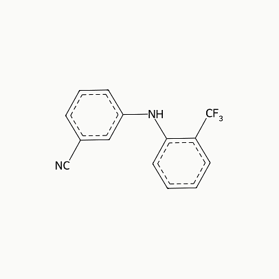 N#Cc1cccc(Nc2ccccc2C(F)(F)F)c1